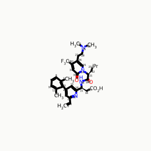 C=Cc1cc(-c2c(C)cccc2C)cc([C@H](CC(=O)O)NC(=O)[C@H](CC(C)C)n2cc(CCN(C)C)c(C(F)(F)F)cc2=O)n1